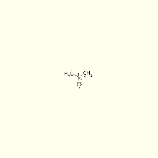 [CH2][C@@H](C)[O]